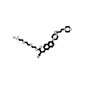 CCCOCCOCCOC(=O)C(C#N)Cc1ccc2cc(N3CCN(NCCN4CCOCC4)CC3)ccc2c1